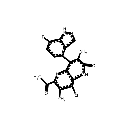 CC(=O)c1nc2c(-c3ccc(F)c4[nH]ncc34)c(N)c(=O)[nH]c2c(Cl)c1C